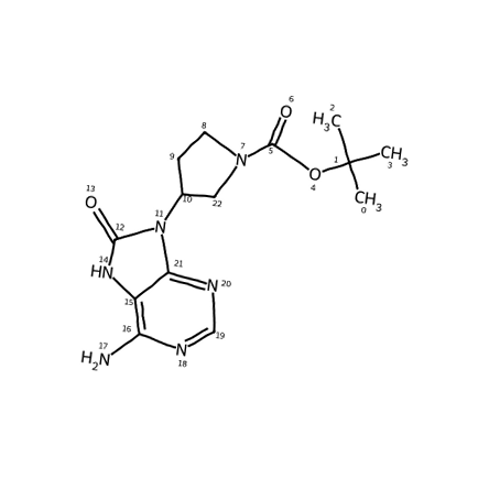 CC(C)(C)OC(=O)N1CCC(n2c(=O)[nH]c3c(N)ncnc32)C1